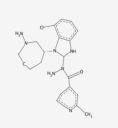 Cc1cc(C(=O)N(N)C2Nc3cccc(Cl)c3N2[C@@H]2CCCCN(N)C2)ccn1